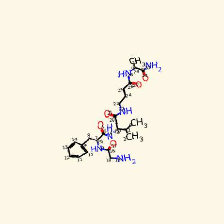 CC(C)[C@H](NC(=O)[C@H](Cc1ccccc1)NC(=O)CN)C(=O)NCCCC(=O)N[C@@H](C)C(N)=O